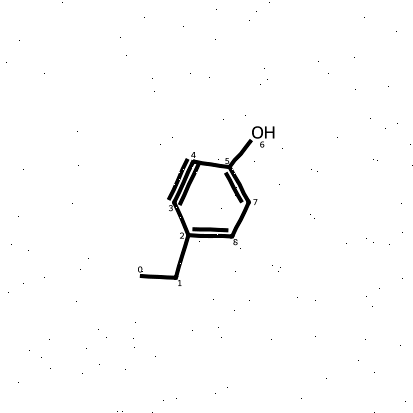 CCc1c#cc(O)cc1